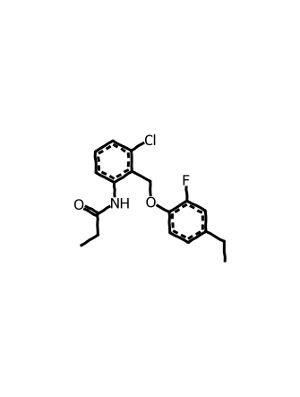 CCC(=O)Nc1cccc(Cl)c1COc1ccc(CC)cc1F